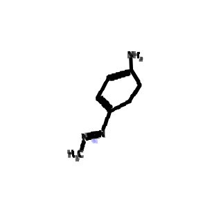 C/N=N/C1=CC=C(N)CC1